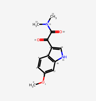 COc1ccc2c(C(=O)C(=O)N(C)C)c[nH]c2c1